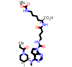 C[C@@H]1CCN(C(=O)CC#N)C[C@@H]1N(C)c1ncnc2c1ccn2C(=O)NCCCC(=O)N[C@@H](CCCCNC(=O)OC(C)(C)C)C(=O)O